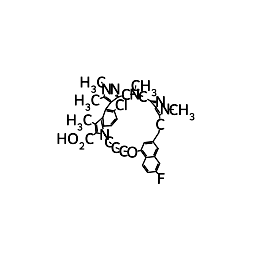 Cc1c(C(=O)O)n2c3ccc(Cl)c(c13)-c1c(nn(C)c1C)CN(C)Cc1cc(n(C)n1)CCc1cc(c3ccc(F)cc3c1)OCCC2